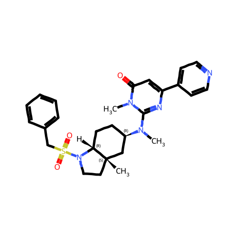 CN(c1nc(-c2ccncc2)cc(=O)n1C)[C@@H]1CC[C@H]2N(S(=O)(=O)Cc3ccccc3)CC[C@@]2(C)C1